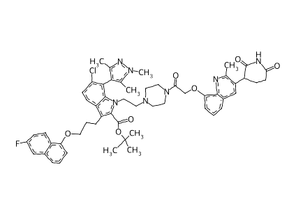 Cc1nc2c(OCC(=O)N3CCN(CCn4c(C(=O)OC(C)(C)C)c(CCCOc5cccc6cc(F)ccc56)c5ccc(Cl)c(-c6c(C)nn(C)c6C)c54)CC3)cccc2cc1C1CCC(=O)NC1=O